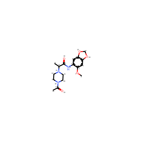 COc1cc2c(cc1NC(=O)C(C)N1CCN(C(C)=O)CC1)OCO2